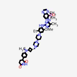 CCc1cc(Nc2ncc(C)c(Nc3ccc4nccnc4c3P(C)(C)=O)n2)c(OC)cc1N1CCC(N2CCN(C[C@H]3C[C@H](N(C)c4ccc(C5CCC(=O)NC5=O)cc4)C3)CC2)CC1